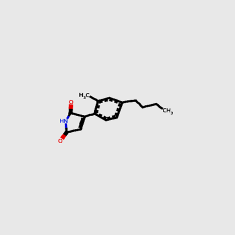 CCCCc1ccc(C2=CC(=O)NC2=O)c(C)c1